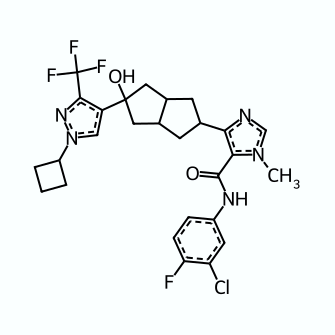 Cn1cnc(C2CC3CC(O)(c4cn(C5CCC5)nc4C(F)(F)F)CC3C2)c1C(=O)Nc1ccc(F)c(Cl)c1